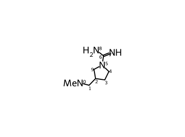 CNCC1CCN(C(=N)N)C1